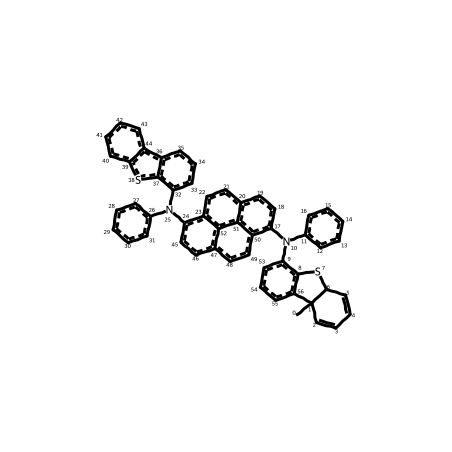 CC12C=CC=CC1Sc1c(N(c3ccccc3)c3ccc4ccc5c(N(c6ccccc6)c6cccc7c6sc6ccccc67)ccc6ccc3c4c65)cccc12